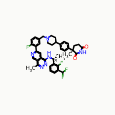 Cc1nnc(N[C@H](C)c2cccc(C(F)F)c2F)c2cc(-c3cc(CN4CCC(c5ccc([C@@]6(C)CCC(=O)NC6=O)cc5)CC4)ccc3F)ncc12